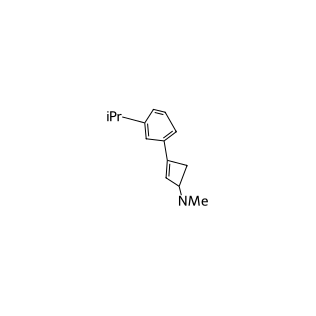 CNC1C=C(c2cccc(C(C)C)c2)C1